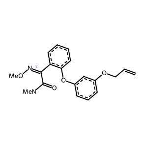 C=CCOc1cccc(Oc2ccccc2/C(=N/OC)C(=O)NC)c1